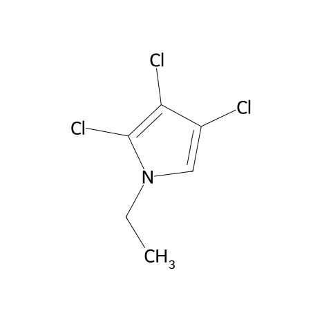 CCn1cc(Cl)c(Cl)c1Cl